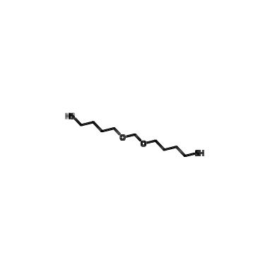 SCCCCOCOCCCCS